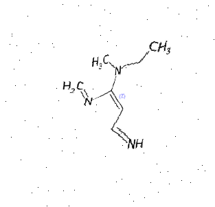 C=N/C(=C\C=N)N(C)CC